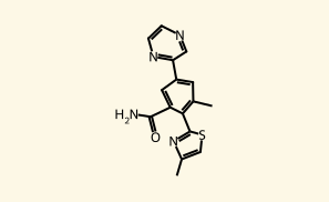 Cc1csc(-c2c(C)cc(-c3cnccn3)cc2C(N)=O)n1